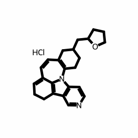 C1=CC2=C(CCC(CC3CCCO3)C2)n2c3c(c4cnccc42)CCC=C13.Cl